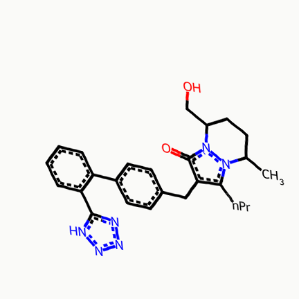 CCCc1c(Cc2ccc(-c3ccccc3-c3nnn[nH]3)cc2)c(=O)n2n1C(C)CCC2CO